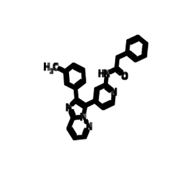 Cc1cccc(-c2nc3cccnn3c2-c2ccnc(NC(=O)Cc3ccccc3)c2)c1